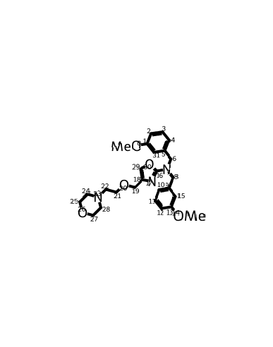 COc1cccc(CN(Cc2cccc(OC)c2)c2nc(COCCN3CCOCC3)co2)c1